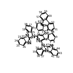 c1ccc([Si](c2ccccc2)(c2cc(-n3c4ccccc4n4c5ccccc5nc34)nc(-n3c4ccccc4n4c5ccccc5nc34)c2)c2cccc3c2sc2ccccc23)cc1